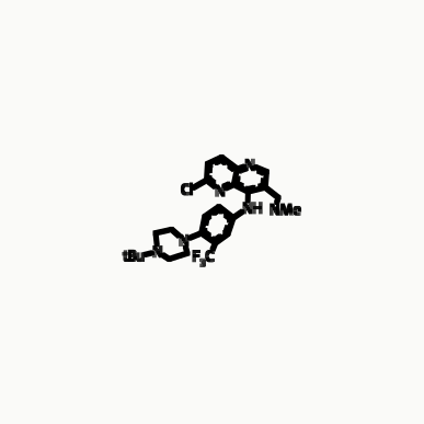 CNCc1cnc2ccc(Cl)nc2c1Nc1ccc(N2CCN(C(C)(C)C)CC2)c(C(F)(F)F)c1